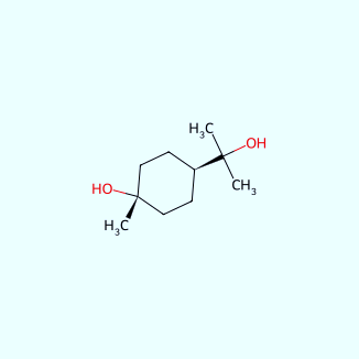 CC(C)(O)[C@H]1CC[C@](C)(O)CC1